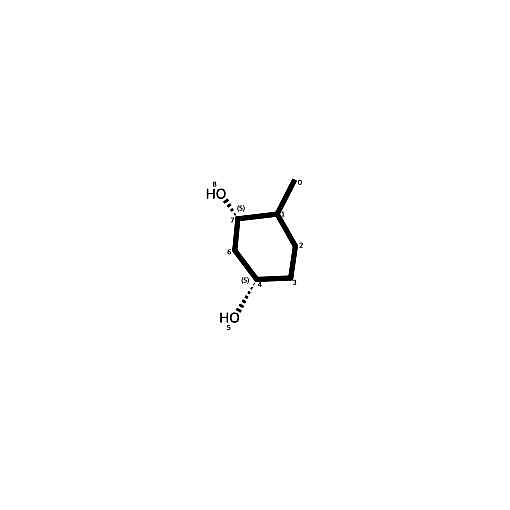 CC1CC[C@H](O)C[C@@H]1O